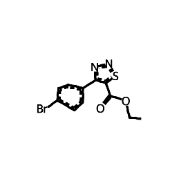 CCOC(=O)c1snnc1-c1ccc(Br)cc1